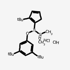 C[SiH](C)[Ti]([O]c1cc(C(C)(C)C)cc(C(C)(C)C)c1)[C]1=C(C(C)(C)C)C=CC1.Cl.Cl